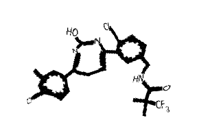 Cc1cc(C2=NC(O)=NC(c3cc(CNC(=O)C(C)(C)C(F)(F)F)ccc3Cl)=CC2)ccc1Cl